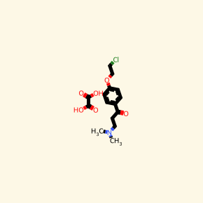 CN(C)CCC(=O)c1ccc(OCCCl)cc1.O=C(O)C(=O)O